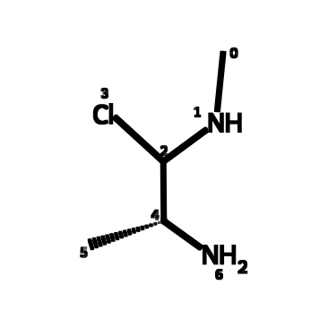 CNC(Cl)[C@@H](C)N